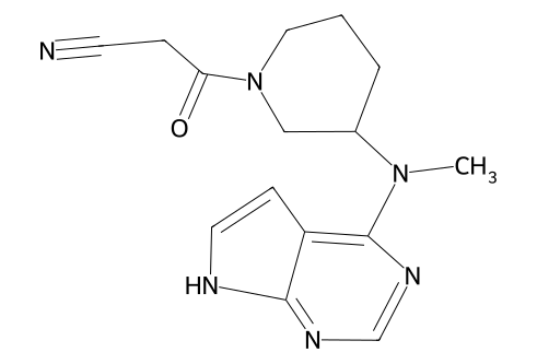 CN(c1ncnc2[nH]ccc12)C1CCCN(C(=O)CC#N)C1